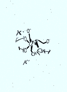 [K+].[K+].[O-][Os]([O-])([OH])([OH])([OH])[OH]